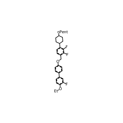 CCCCCC1CCC(c2ccc(COc3ccc(-c4ccc(OCC)c(F)c4)cc3)c(F)c2F)CC1